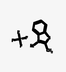 CC[n+]1c(C)sc2ccccc21.F[B-](F)(F)F